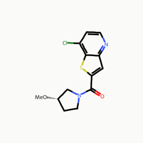 CO[C@H]1CCN(C(=O)c2cc3nccc(Cl)c3s2)C1